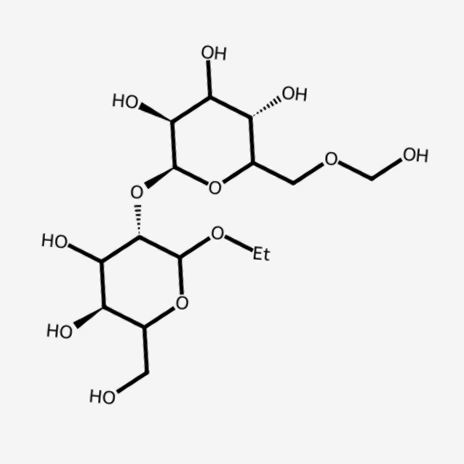 CCOC1OC(CO)[C@@H](O)C(O)[C@@H]1O[C@@H]1OC(COCO)[C@@H](O)C(O)[C@@H]1O